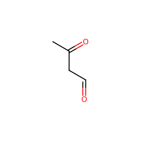 CC(=O)CC=O